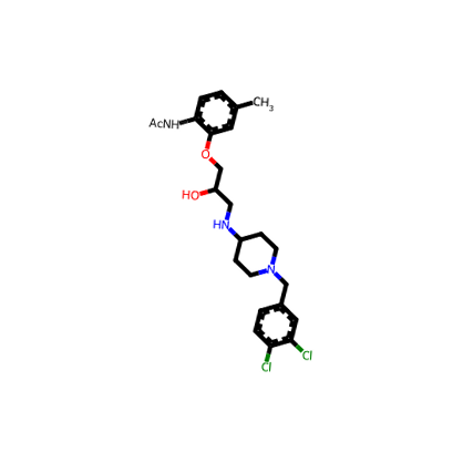 CC(=O)Nc1ccc(C)cc1OCC(O)CNC1CCN(Cc2ccc(Cl)c(Cl)c2)CC1